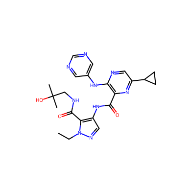 CCn1ncc(NC(=O)c2nc(C3CC3)cnc2Nc2cncnc2)c1C(=O)NCC(C)(C)O